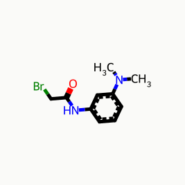 CN(C)c1cccc(NC(=O)CBr)c1